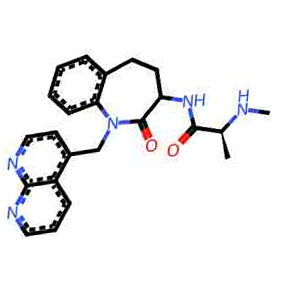 CN[C@@H](C)C(=O)NC1CCc2ccccc2N(Cc2ccnc3ncccc23)C1=O